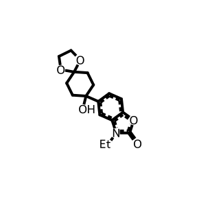 CCn1c(=O)oc2ccc(C3(O)CCC4(CC3)OCCO4)cc21